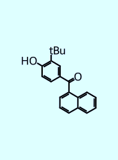 CC(C)(C)c1cc(C(=O)c2cccc3ccccc23)ccc1O